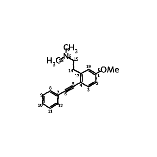 COc1ccc(C#Cc2ccccc2)c(CCN(C)C)c1